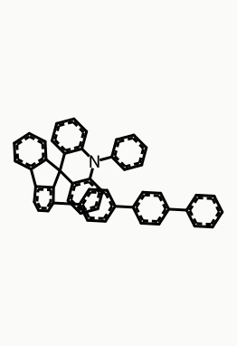 c1ccc(-c2ccc(-c3ccc(-c4cccc5c4C4(c6ccccc6-5)c5ccccc5N(c5ccccc5)c5ccccc54)cc3)cc2)cc1